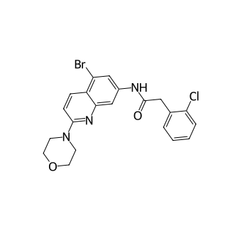 O=C(Cc1ccccc1Cl)Nc1cc(Br)c2ccc(N3CCOCC3)nc2c1